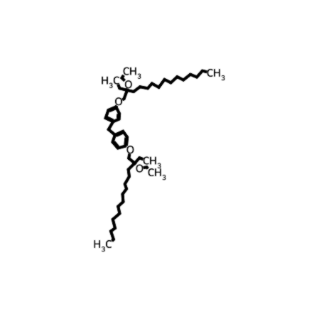 CCCCCCCCCCCCCC(CC)(COc1ccc(Cc2ccc(OCC(CC)(CCCCCCCCCCCCC)OCC)cc2)cc1)OCC